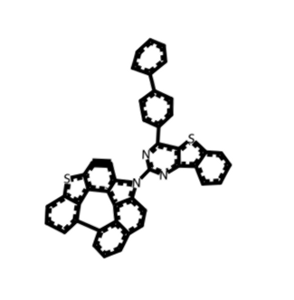 c1c2sc3cccc4c3c2c2c3c5c-4cccc5ccc3n(-c3nc(-c4ccc(-c5ccccc5)cc4)c4sc5ccccc5c4n3)c2c#1